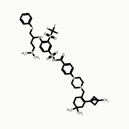 CN(C)CCC(CSc1ccccc1)Nc1ccc(S(=O)(=O)NC(=O)c2ccc(N3CCN(CC4=C(C56CC(C)(C5)C6)CC(C)(C)CC4)CC3)cc2)cc1S(=O)(=O)C(F)(F)F